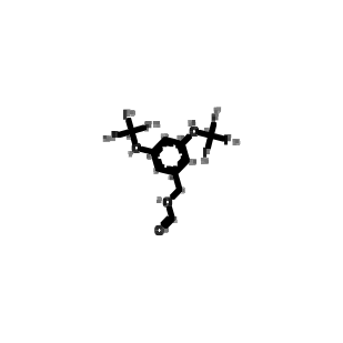 O=[C]OCc1cc(OC(F)(F)F)cc(OC(F)(F)F)c1